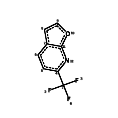 FC(F)(F)c1ccc2c[c]oc2n1